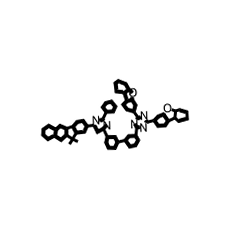 CC1(C)c2cc(-c3cc(-c4cccc(-c5cccc(-c6nc(-c7ccc8c(c7)OC7C=CC=CC87)nc(-c7ccc8c(c7)oc7ccccc78)n6)c5)c4)nc(-c4ccccc4)n3)ccc2-c2cc3ccccc3cc21